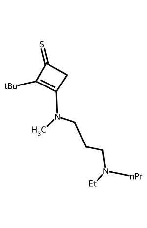 CCCN(CC)CCCN(C)C1=C(C(C)(C)C)C(=S)C1